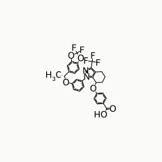 C[C@@H](Oc1cccc(-n2nc(C(F)(F)F)c3c2C(Oc2ccc(C(=O)O)cc2)CCC3)c1)c1ccc2c(c1)OC(F)(F)O2